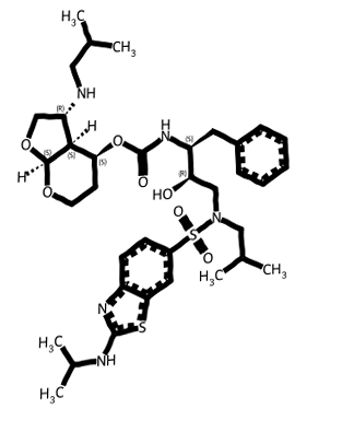 CC(C)CN[C@H]1CO[C@@H]2OCC[C@H](OC(=O)N[C@@H](Cc3ccccc3)[C@H](O)CN(CC(C)C)S(=O)(=O)c3ccc4nc(NC(C)C)sc4c3)[C@@H]21